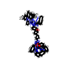 c1ccc(-c2nc(-c3ccc(-c4ccc5c(c4)oc4cc(-c6nc(-c7ccccc7)nc(-n7c8cccc9ccc%10c%11ccccc%11n(c%11ccccc%117)c%10c98)n6)ccc45)cc3)nc(-c3ccccc3-n3c4cccc5ccc6c7ccccc7n(c7ccccc73)c6c54)n2)cc1